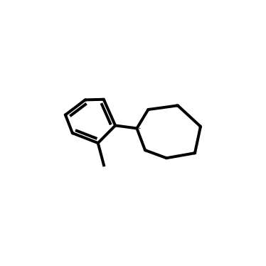 Cc1ccccc1[C]1CCCCCC1